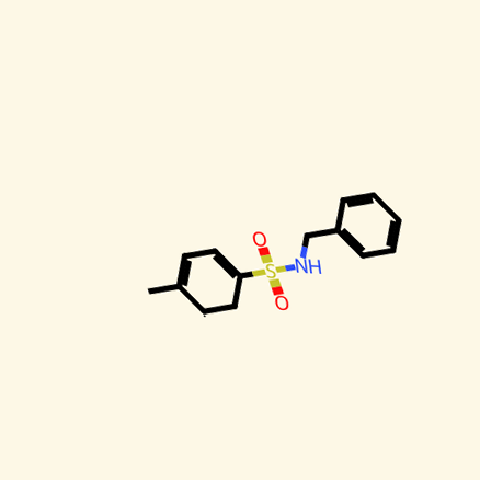 CC1=CC=C(S(=O)(=O)NCc2ccccc2)C[CH]1